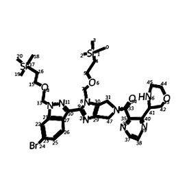 C[Si](C)(C)CCOCn1c(-c2nn(COCC[Si](C)(C)C)c3cc(Br)ccc23)nc2c1CN(C(=O)c1nccnc1C1COCCN1)C2